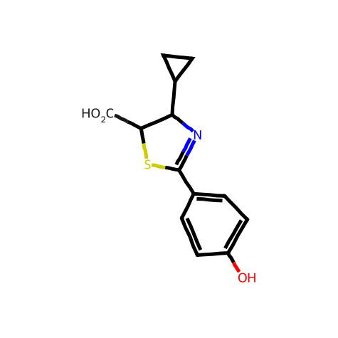 O=C(O)C1SC(c2ccc(O)cc2)=NC1C1CC1